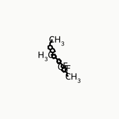 CCCc1ccc(OCc2ccc(C3=CCC(C)(C4CCC5CC(CCC)CCC5C4)C=C3)cc2)c(F)c1F